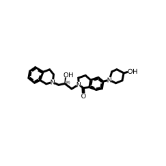 O=C1c2ccc(N3CCC(O)CC3)cc2CCN1C[C@H](O)CN1CCc2ccccc2C1